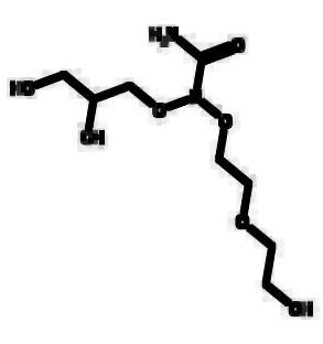 NC(=O)N(OCCOCCO)OCC(O)CO